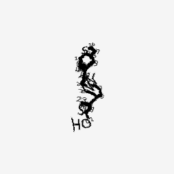 OCc1cc(-c2ccc3nc(-c4ccc5sccc5c4)cn3c2)cs1